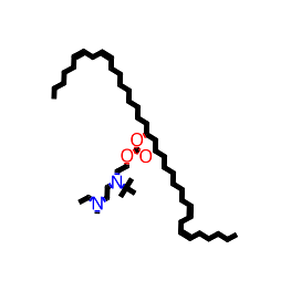 CCCCC/C=C\C/C=C\CCCCCCCCC(CCCCCCCC/C=C\C/C=C\CCCCC)OC(=O)OCCN(CCN(C)CC)C(C)(C)C